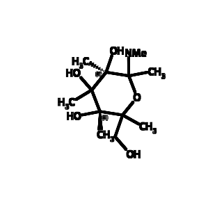 CNC1(C)OC(C)(CO)[C@](C)(O)C(C)(O)[C@@]1(C)O